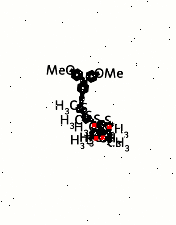 COc1ccc(N(c2ccc(C#Cc3sc(-c4sc(-c5cc6c(s5)-c5scc[n+]5[B-]6(c5c(C)cc(C)cc5C)c5c(C)cc(C)cc5C)cc4C)cc3C)cc2)c2ccc(OC)cc2)cc1